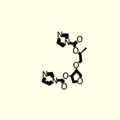 C[C@@H](CO[C@H]1COC[C@@H]1OC(=O)n1ccnc1)OC(=O)n1ccnc1